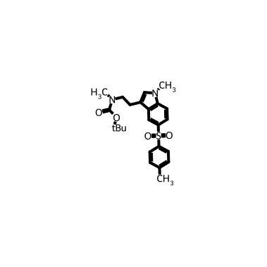 Cc1ccc(S(=O)(=O)c2ccc3c(c2)c(CCN(C)C(=O)OC(C)(C)C)cn3C)cc1